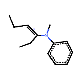 CC/C=C(\CC)N(C)c1ccccc1